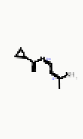 C=C(/N=C\C=C(\C)N)C1CC1